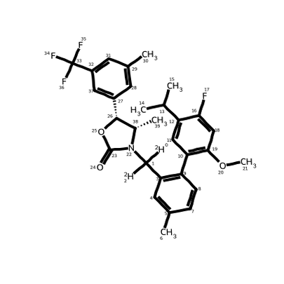 [2H]C([2H])(c1cc(C)ccc1-c1cc(C(C)C)c(F)cc1OC)N1C(=O)O[C@H](c2cc(C)cc(C(F)(F)F)c2)[C@@H]1C